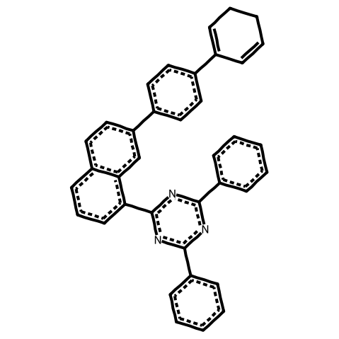 C1=CC(c2ccc(-c3ccc4cccc(-c5nc(-c6ccccc6)nc(-c6ccccc6)n5)c4c3)cc2)=CCC1